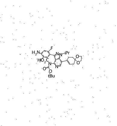 CC(C)n1nc(-c2cc(F)c(N)cc2F)c2c(N(C(=O)O)C(=O)OC(C)(C)C)ncc(C3=CCC4(CC3)OCCO4)c21